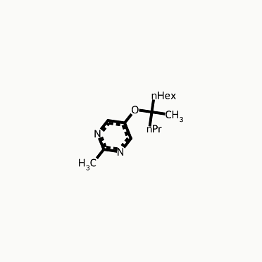 CCCCCCC(C)(CCC)Oc1cnc(C)nc1